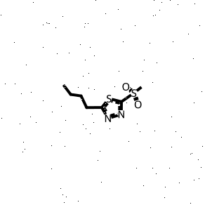 CCCCc1nnc(S(C)(=O)=O)s1